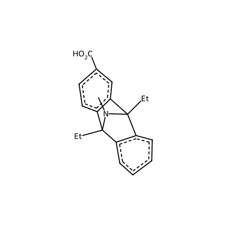 CCC12c3ccccc3C(CC)(c3cc(C(=O)O)ccc31)N2C